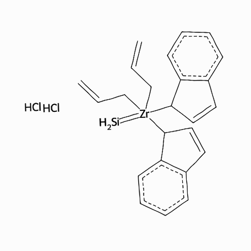 C=C[CH2][Zr](=[SiH2])([CH2]C=C)([CH]1C=Cc2ccccc21)[CH]1C=Cc2ccccc21.Cl.Cl